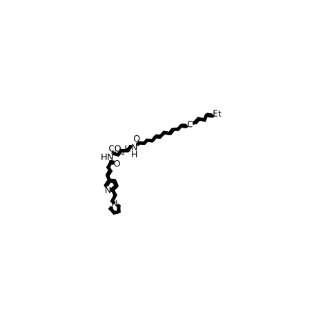 CCC=CCC=CCC=CCC=CCC=CCCCC(=O)NCCCC[C@H](NC(=O)CC=Cc1ccc(CCN2CCCC2)nc1)C(=O)O